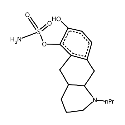 CCCN1CCCC2Cc3c(ccc(O)c3OS(N)(=O)=O)CC21